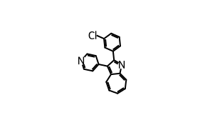 Clc1cccc(-c2nc3cccccc-3c2-c2ccncc2)c1